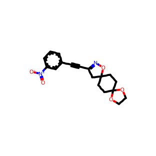 O=[N+]([O-])c1cccc(C#CC2=NOC3(CCC4(CC3)OCCO4)C2)c1